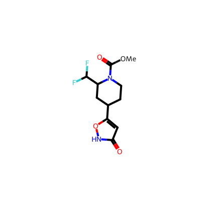 COC(=O)N1CCC(c2cc(=O)[nH]o2)CC1C(F)F